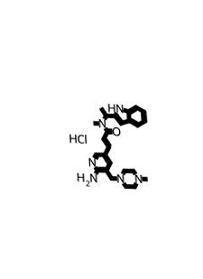 CC(c1cc2ccccc2[nH]1)N(C)C(=O)C=Cc1cnc(N)c(CN2CCN(C)CC2)c1.Cl